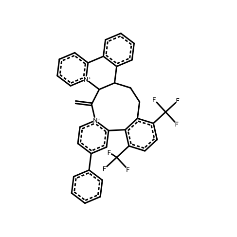 C=C1C2C(CCc3c(C(F)(F)F)ccc(C(F)(F)F)c3-c3cc(-c4ccccc4)cc[n+]31)c1ccccc1-c1cccc[n+]12